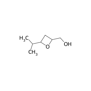 CC(C)C1CC(CO)O1